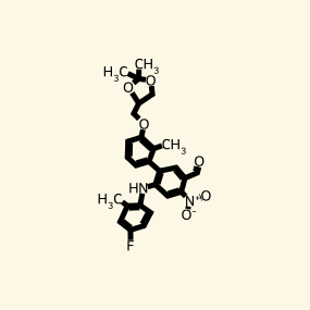 Cc1cc(F)ccc1Nc1cc([N+](=O)[O-])c(C=O)cc1-c1cccc(OCC2COC(C)(C)O2)c1C